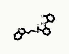 O=C(NCCc1c[nH]c2ccccc12)c1ccccc1Nc1ccccc1Cl